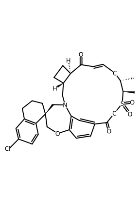 C[C@@H]1[C@@H](C)C/C=C/C(=O)[C@@H]2CC[C@H]2CN2C[C@@]3(CCCc4cc(Cl)ccc43)COc3ccc(cc32)C(=O)CS1(=O)=O